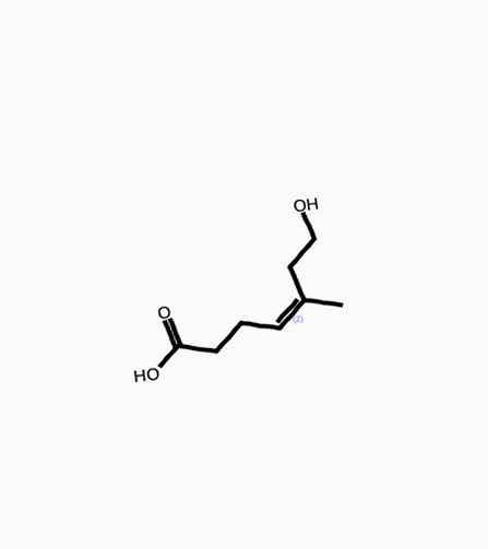 C/C(=C/CCC(=O)O)CCO